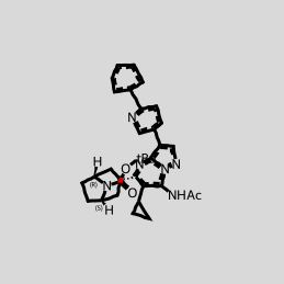 CC(=O)Nc1c(C2CC2)c([C@H]2C[C@H]3CC[C@@H](C2)N3C(=O)OC(C)(C)C)nc2c(-c3ccc(-c4ccccc4)nc3)cnn12